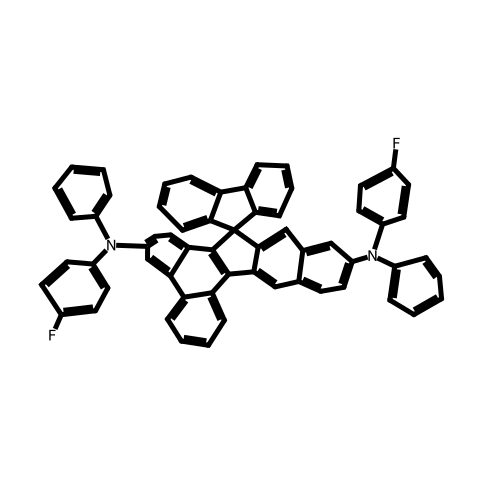 Fc1ccc(N(c2ccccc2)c2ccc3cc4c(cc3c2)C2(c3ccccc3-c3ccccc32)c2c-4c3ccccc3c3cc(N(c4ccccc4)c4ccc(F)cc4)ccc23)cc1